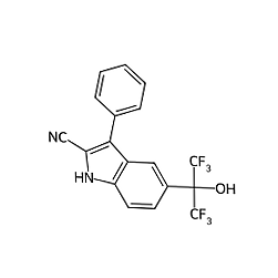 N#Cc1[nH]c2ccc(C(O)(C(F)(F)F)C(F)(F)F)cc2c1-c1ccccc1